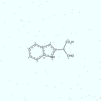 O=CC(C(=O)O)c1cc2ccccc2[nH]1